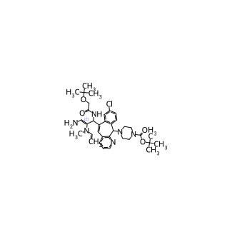 C=CN(C)/C(=C\N)C(NC(=O)COC(C)(C)C)C1=Cc2cccnc2C(N2CCN(C(=O)OC(C)(C)C)CC2)c2ccc(Cl)cc21